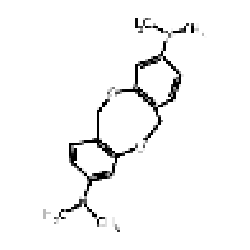 CN(C)c1ccc2c(c1)OCc1ccc(N(C)C)cc1OC2